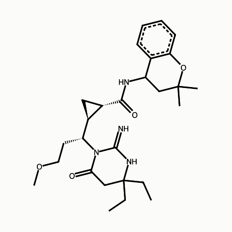 CCC1(CC)CC(=O)N([C@H](CCOC)[C@H]2C[C@@H]2C(=O)NC2CC(C)(C)Oc3ccccc32)C(=N)N1